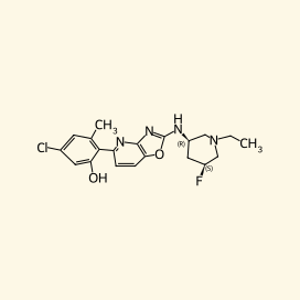 CCN1C[C@@H](F)C[C@@H](Nc2nc3nc(-c4c(C)cc(Cl)cc4O)ccc3o2)C1